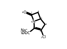 O=C([O-])C1=C(Cl)CC2CC(=O)N12.[Na+]